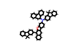 CC1(C)c2ccccc2-c2ccc(-c3c4ccccc4cc4c3oc3cc(N(c5ccc6c(c5)C(C)(C)c5ccccc5-6)c5cc6ccccc6c6ccccc56)ccc34)cc21